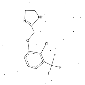 FC(F)(F)c1cccc(OCC2=NCCN2)c1Cl